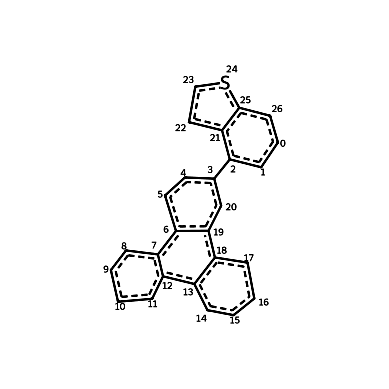 c1cc(-c2ccc3c4ccccc4c4ccccc4c3c2)c2ccsc2c1